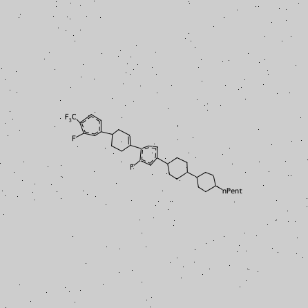 CCCCCC1CCC(C2CCC(c3ccc(C4=CCC(c5ccc(C(F)(F)F)c(F)c5)CC4)c(F)c3)CC2)CC1